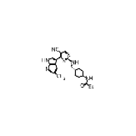 CCC(=O)N[C@H]1CC[C@H](CNc2ncc(C#N)c(-c3c[nH]c4ncc(C(F)(F)F)cc34)n2)CC1